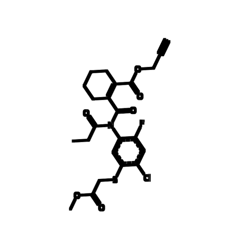 C#CCOC(=O)C1=C(C(=O)N(C(=O)CC)c2cc(SCC(=O)OC)c(Cl)cc2F)CCCC1